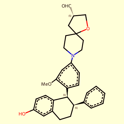 COc1cc(N2CCC3(CC2)C[C@H](C=O)CO3)ccc1[C@@H]1c2ccc(O)cc2CC[C@@H]1c1ccccc1